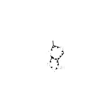 Ic1ncc2[nH]nnc2n1